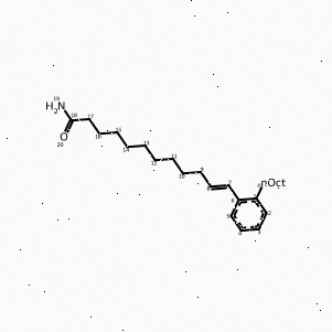 CCCCCCCCc1ccccc1C=CCCCCCCCCCC(N)=O